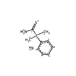 CS(C)(C(N)=S)c1ccccc1.[Hg]